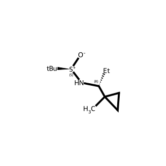 CC[C@@H](N[S@+]([O-])C(C)(C)C)C1(C)CC1